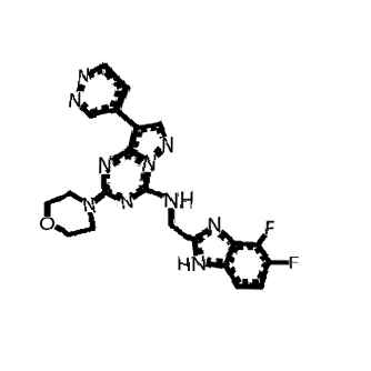 Fc1ccc2[nH]c(CNc3nc(N4CCOCC4)nc4c(-c5ccnnc5)cnn34)nc2c1F